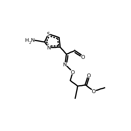 COC(=O)C(C)CO/N=C(\[C]=O)c1csc(N)n1